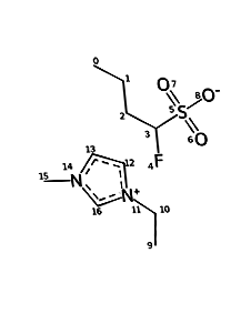 CCCC(F)S(=O)(=O)[O-].CC[n+]1ccn(C)c1